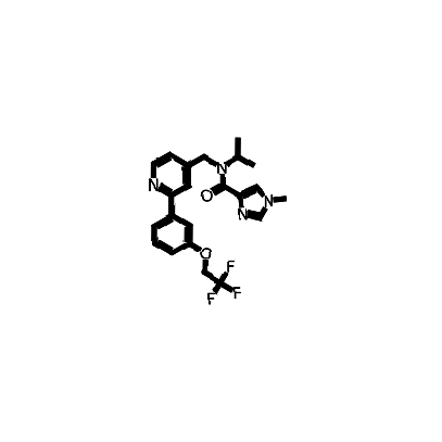 CC(C)N(Cc1ccnc(-c2cccc(OCC(F)(F)F)c2)c1)C(=O)c1cn(C)cn1